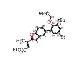 CCOC(=O)C=C(C)c1cc2cc(-c3cc(CC)cc(C(C)(C)C)c3OCOC)ccc2o1